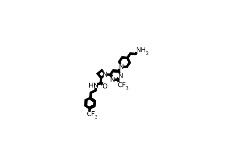 NCCC1CCN(c2cc(N3CCC3C(=O)NCCc3ccc(C(F)(F)F)cc3)nc(C(F)(F)F)n2)CC1